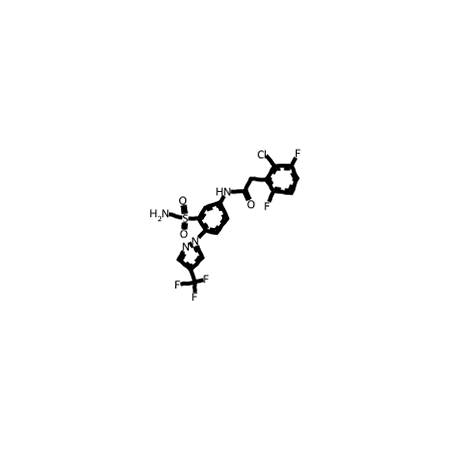 NS(=O)(=O)c1cc(NC(=O)Cc2c(F)ccc(F)c2Cl)ccc1-n1cc(C(F)(F)F)cn1